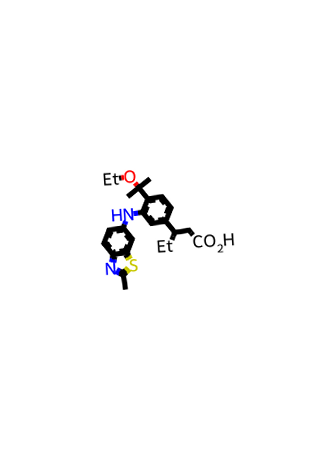 CCOC(C)(C)c1ccc(C(CC)CC(=O)O)cc1Nc1ccc2nc(C)sc2c1